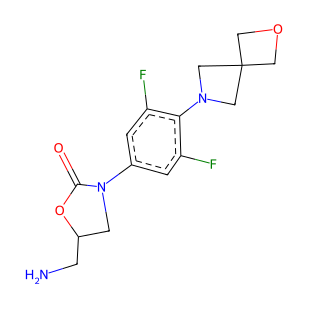 NCC1CN(c2cc(F)c(N3CC4(COC4)C3)c(F)c2)C(=O)O1